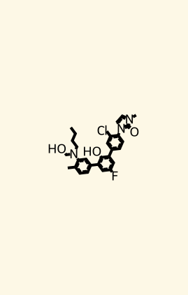 CCCCN(CO)c1cc(-c2cc(F)cc(-c3ccc(-n4ccn(C)c4=O)c(Cl)c3)c2O)ccc1C